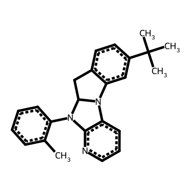 Cc1ccccc1N1c2ncccc2N2c3cc(C(C)(C)C)ccc3CC21